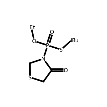 CCOP(=O)(SC(C)CC)N1CSCC1=O